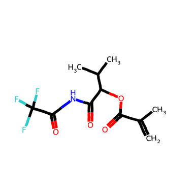 C=C(C)C(=O)OC(C(=O)NC(=O)C(F)(F)F)C(C)C